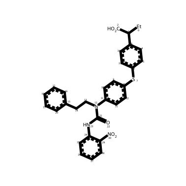 CCC(C(=O)O)c1ccc(Sc2ccc(N(CCc3ccccc3)C(=O)Nc3ccccc3[N+](=O)[O-])cc2)cc1